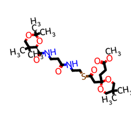 COC(=O)CCC1(CC(=O)SCCNC(=O)CCNC(=O)[C@@H]2OC(C)(C)OCC2(C)C)OCC(C)(C)CO1